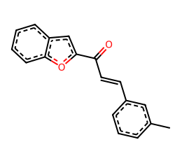 Cc1cccc(C=CC(=O)c2cc3ccccc3o2)c1